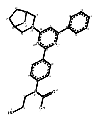 O=C(O)N(CCO)c1ccc(-c2nc(-c3ccccc3)cc(N3CC4CCC(C3)O4)n2)cc1